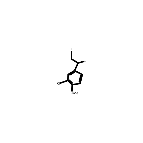 [CH2]C(CF)c1ccc(OC)c(Cl)c1